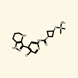 CC(C)(C)[Si](C)(C)O[C@H]1C[C@@H](C(=O)Nc2cc(-c3n[nH]c4c3NCCC4)c(Cl)cn2)C1